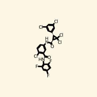 O=C(Nc1c(F)cc(F)cc1F)c1cc(NC(=O)[C@H]2[C@H](c3cc(Cl)cc(Cl)c3)C2(Cl)Cl)ccc1Cl